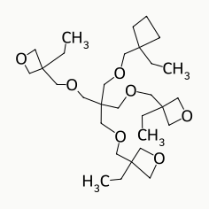 CCC1(COCC(COCC2(CC)COC2)(COCC2(CC)COC2)COCC2(CC)COC2)CCC1